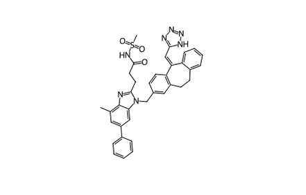 Cc1cc(-c2ccccc2)cc2c1nc(CCC(=O)NS(C)(=O)=O)n2Cc1ccc2c(c1)CCc1ccccc1/C2=C\c1nnn[nH]1